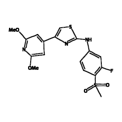 COc1cc(-c2csc(Nc3ccc(S(C)(=O)=O)c(F)c3)n2)cc(OC)n1